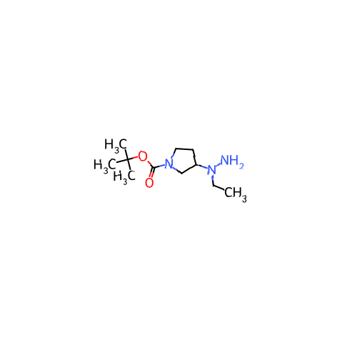 CCN(N)C1CCN(C(=O)OC(C)(C)C)C1